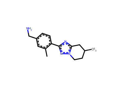 Cc1cc(CN)ccc1-c1nc2n(n1)CCC(C(F)(F)F)C2